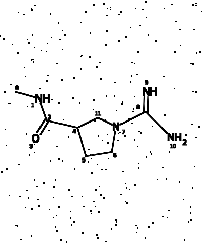 CNC(=O)C1CCN(C(=N)N)C1